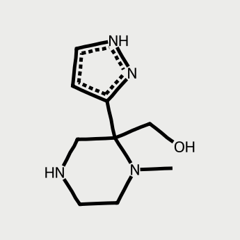 CN1CCNCC1(CO)c1cc[nH]n1